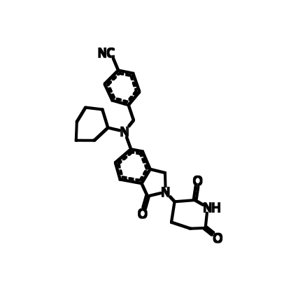 N#Cc1ccc(CN(c2ccc3c(c2)CN(C2CCC(=O)NC2=O)C3=O)C2CCCCC2)cc1